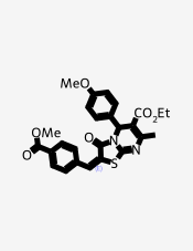 CCOC(=O)C1=C(C)N=c2s/c(=C/c3ccc(C(=O)OC)cc3)c(=O)n2C1c1ccc(OC)cc1